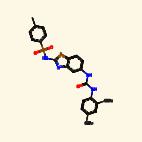 COc1ccc(NC(=O)Nc2ccc3sc(NS(=O)(=O)c4ccc(C)cc4)nc3c2)c(OC)c1